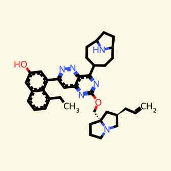 C=CC[C@H]1CN2CCC[C@@]2(COc2nc(C3CCC4CCC(CC3)N4)c3nnc(-c4cc(O)cc5cccc(CC)c45)cc3n2)C1